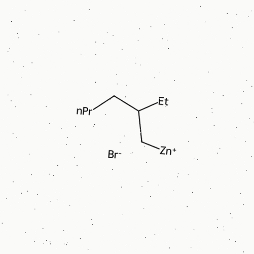 CCCCC(CC)[CH2][Zn+].[Br-]